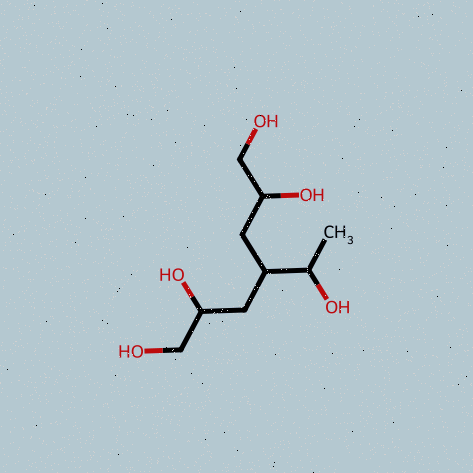 CC(O)C(CC(O)CO)CC(O)CO